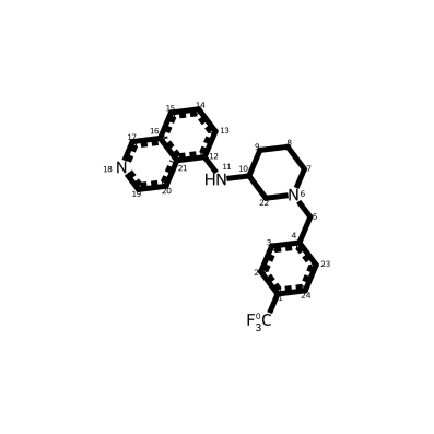 FC(F)(F)c1ccc(CN2CCCC(Nc3cccc4cnccc34)C2)cc1